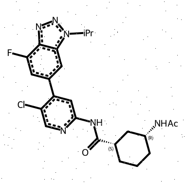 CC(=O)N[C@@H]1CCC[C@H](C(=O)Nc2cc(-c3cc(F)c4nnn(C(C)C)c4c3)c(Cl)cn2)C1